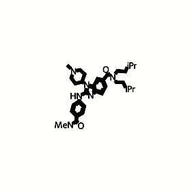 CNC(=O)c1ccc(Nc2nc3ccc(C(=O)N(CCC(C)C)CCC(C)C)cc3n2C2CCN(C)CC2)cc1